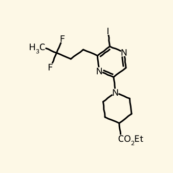 CCOC(=O)C1CCN(c2cnc(I)c(CCC(C)(F)F)n2)CC1